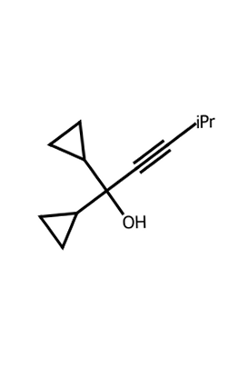 CC(C)C#CC(O)(C1CC1)C1CC1